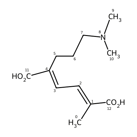 CC(=CC=C(CCCN(C)C)C(=O)O)C(=O)O